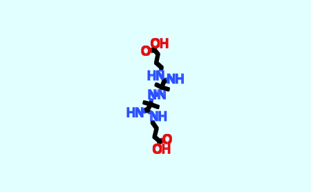 CC(C)(/N=N/C(C)(C)C(=N)NCCCC(=O)O)C(=N)NCCCC(=O)O